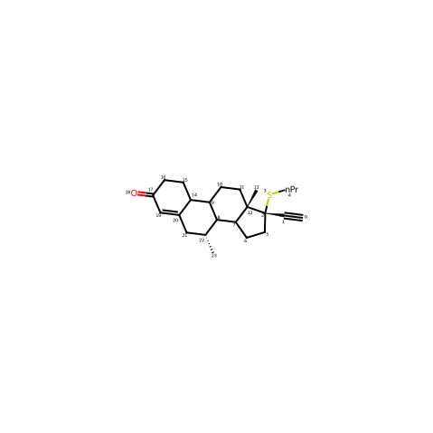 C#C[C@@]1(SCCC)CCC2C3C(CC[C@@]21C)C1CCC(=O)C=C1C[C@H]3C